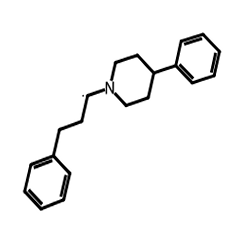 [CH](CCc1ccccc1)N1CCC(c2ccccc2)CC1